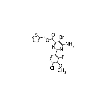 COc1c(Cl)ccc(-c2nc(N)c(Br)c(C(=O)OCc3cccs3)n2)c1F